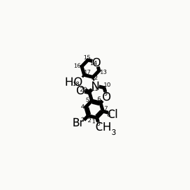 Cc1c(Br)cc2c(c1Cl)OCN([C@H]1COCC[C@@H]1O)C2=O